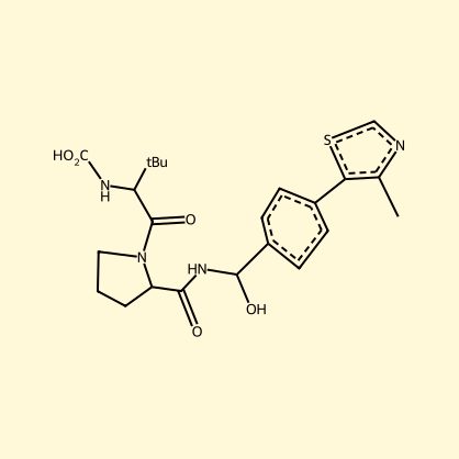 Cc1ncsc1-c1ccc(C(O)NC(=O)C2CCCN2C(=O)C(NC(=O)O)C(C)(C)C)cc1